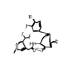 Cn1cc(C(=O)Nc2c(Cl)cc(F)cc2-c2ccc(F)c(F)c2)c(C(F)F)n1